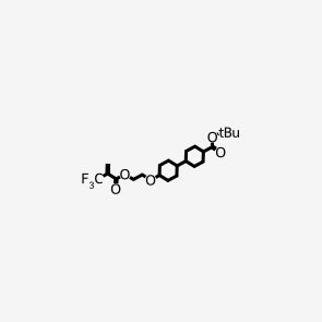 C=C(C(=O)OCCOC1CCC(C2CCC(C(=O)OC(C)(C)C)CC2)CC1)C(F)(F)F